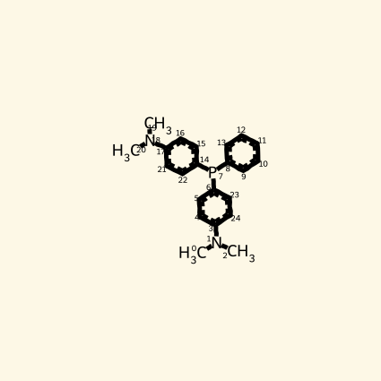 CN(C)c1ccc(P(c2ccccc2)c2ccc(N(C)C)cc2)cc1